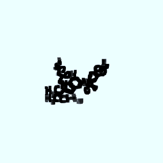 CC(C)(C)c1cc2cc(NC(=O)C3(c4ccc5c(c4)OC(F)(F)O5)CC3)ccc2n1CC(O)COSI